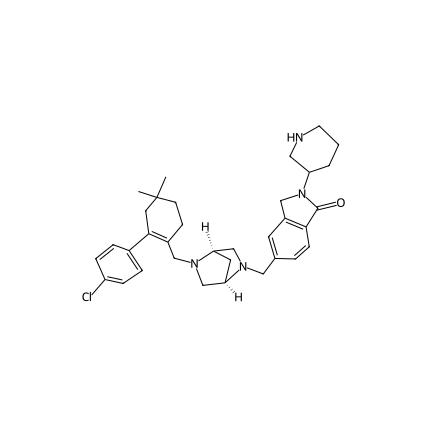 CC1(C)CCC(CN2C[C@H]3C[C@@H]2CN3Cc2ccc3c(c2)CN(C2CCCNC2)C3=O)=C(c2ccc(Cl)cc2)C1